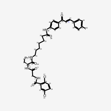 CC(C)C[C@H](NC(=O)CNC(=O)c1cc(Cl)ccc1Cl)C(=O)NCCCCCCC(=O)Nc1ccc(C(=O)/C=C/c2ccc(I)cc2)cc1